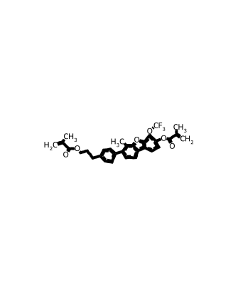 C=C(C)C(=O)OCCCc1ccc(-c2ccc3c(oc4c(OC(F)(F)F)c(OC(=O)C(=C)C)ccc43)c2C)cc1